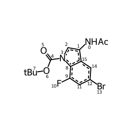 CC(=O)Nc1cn(C(=O)OC(C)(C)C)c2c(F)cc(Br)cc12